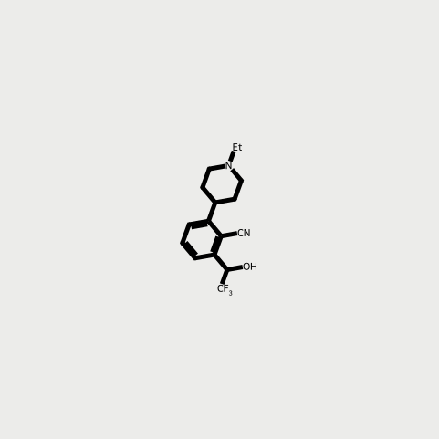 CCN1CCC(c2cccc(C(O)C(F)(F)F)c2C#N)CC1